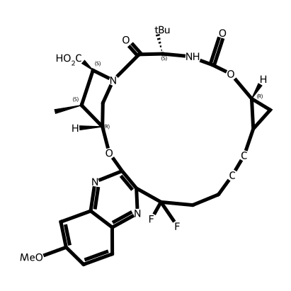 COc1ccc2nc3c(nc2c1)O[C@H]1CN(C(=O)[C@H](C(C)(C)C)NC(=O)O[C@@H]2CC2CCCCC3(F)F)[C@H](C(=O)O)[C@@H]1C